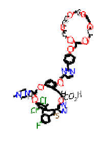 Cc1c(Cl)c2c(Cl)c(C)c1-c1c(-c3ccc(F)cc3)sc3ncnc(c13)O[C@@H](C(=O)O)Cc1cc(ccc1OCc1ccnc(-c3ccc(OCC4COCCOCCOCCOCCOCCO4)cc3)n1)OC[C@@H](CN1CCN(C)CC1)O2